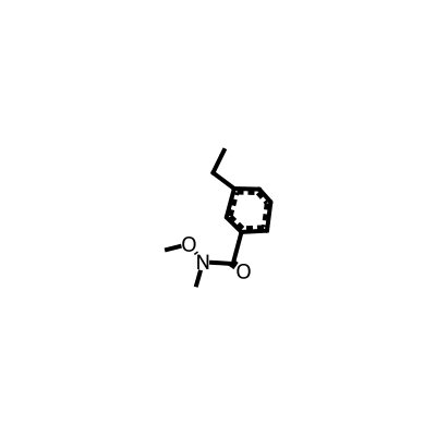 CCc1cccc(C(=O)N(C)OC)c1